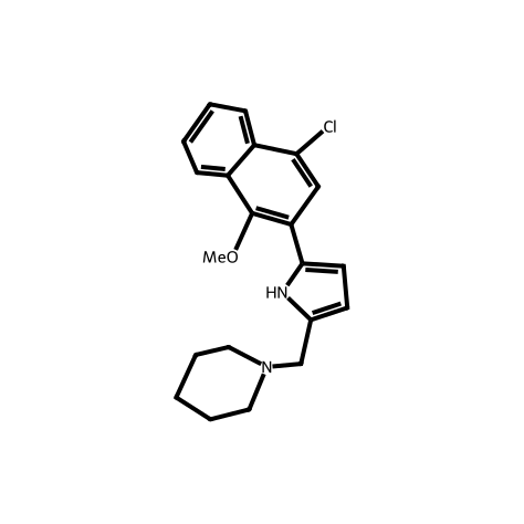 COc1c(-c2ccc(CN3CCCCC3)[nH]2)cc(Cl)c2ccccc12